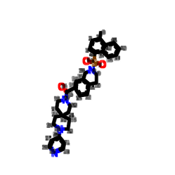 Cc1ccc(S(=O)(=O)N2CCc3ccc(C(=O)N4CCC5(CC4)CCN(c4ccncc4)CC5)cc3C2)c2ccccc12